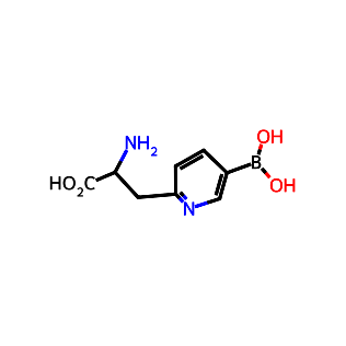 NC(Cc1ccc(B(O)O)cn1)C(=O)O